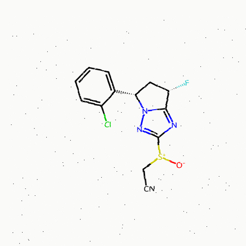 N#CC[S+]([O-])c1nc2n(n1)[C@H](c1ccccc1Cl)C[C@@H]2F